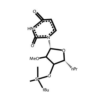 CCC[C@H]1O[C@@H](n2ccc(=O)[nH]c2=O)C(OC)C1O[Si](C)(C)C(C)(C)C